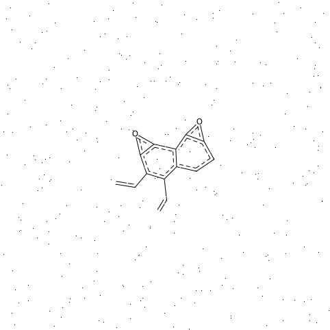 C=Cc1c(C=C)c2oc2c2c1ccc1oc12